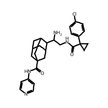 NC(CNC(=O)C1(c2ccc(Cl)cc2)CC1)C1C2CC3CC1CC(C(=O)Nc1ccncc1)(C3)C2